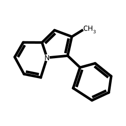 Cc1cc2ccccn2c1-c1ccccc1